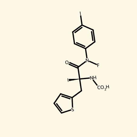 O=C(O)N[C@](I)(Cc1cccs1)C(=O)N(F)c1ccc(I)cc1